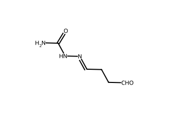 NC(=O)N/N=C/CCC=O